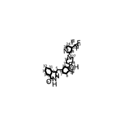 O=c1[nH]nc(Cc2ccc(F)c([P]3(O)CCN(c4cc(C(F)(F)F)ccn4)CC3)c2)c2ccccc12